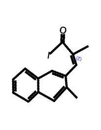 C/C(=C/c1cc2ccccc2cc1C)C(=O)I